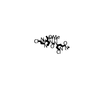 CO[C@@H](C)c1c(NC(=O)Nc2cc(Cl)nc(C(=O)N(C)C)c2)cnc2cc(Cl)nn12